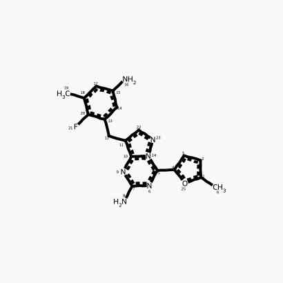 Cc1ccc(-c2nc(N)nc3c(Cc4cc(N)cc(C)c4F)cnn23)o1